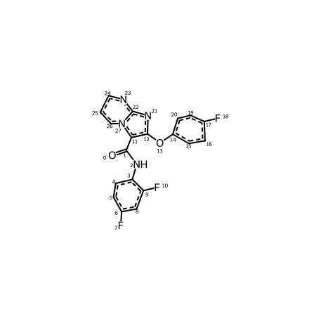 O=C(Nc1ccc(F)cc1F)c1c(Oc2ccc(F)cc2)nc2ncccn12